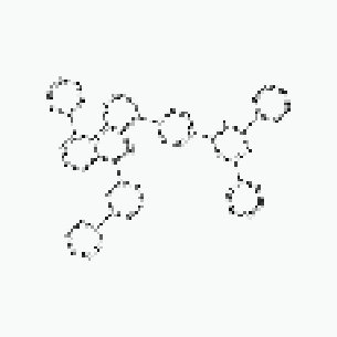 c1ccc(-c2cccc(-c3nc4c(-c5ccc(-c6cc(-c7ccccc7)nc(-c7ccccc7)n6)cc5)cccc4c4c(-c5ccccc5)cccc34)c2)cc1